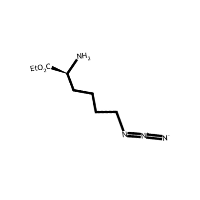 CCOC(=O)[C@@H](N)CCCCN=[N+]=[N-]